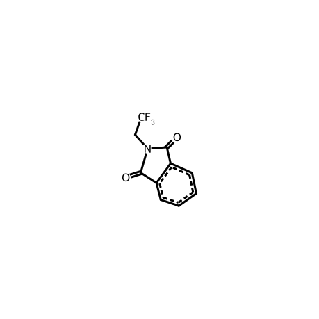 O=C1c2ccccc2C(=O)N1CC(F)(F)F